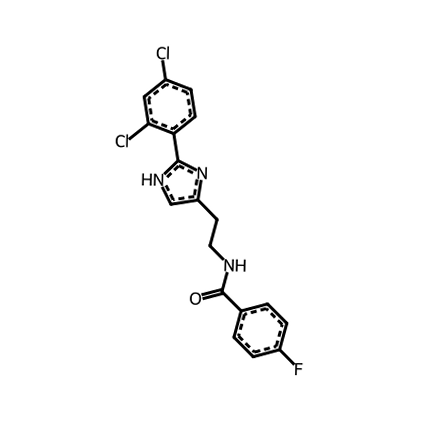 O=C(NCCc1c[nH]c(-c2ccc(Cl)cc2Cl)n1)c1ccc(F)cc1